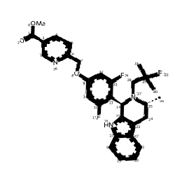 COC(=O)c1ccc(COc2cc(F)c([C@@H]3c4[nH]c5ccccc5c4C[C@@H](C)N3CC(C)(C)F)c(F)c2)nc1